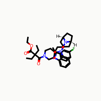 CCOC(=O)C(CC)(CC)C(=O)N1CCC(CCN2[C@@H]3CC[C@H]2CC(n2c(C)nc4ccccc42)C3)(c2cccc(F)c2)CC1